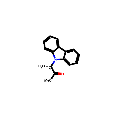 COC(=O)[C@H](C)n1c2ccccc2c2ccccc21